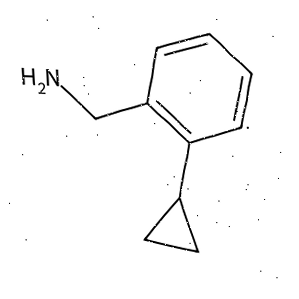 NCc1ccc[c]c1C1CC1